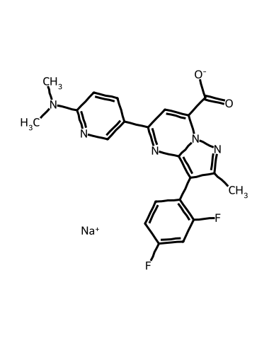 Cc1nn2c(C(=O)[O-])cc(-c3ccc(N(C)C)nc3)nc2c1-c1ccc(F)cc1F.[Na+]